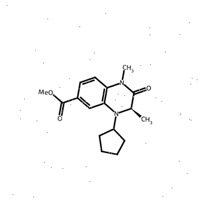 COC(=O)c1ccc2c(c1)N(C1CCCC1)[C@H](C)C(=O)N2C